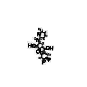 Cc1cccc(N(C)C2CC(C(O)c3ccc(F)c(F)c3)[C@@H](O)[C@H]2O)n1